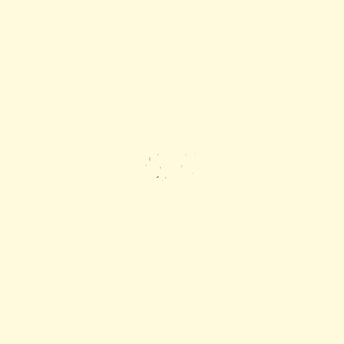 O.O.[O-2].[O-2].[Sn+4]